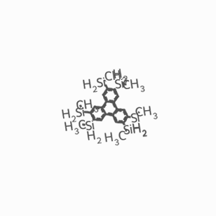 C[SiH2]c1cc2c3cc([SiH2]C)c([SiH2]C)cc3c3cc([SiH2]C)c([SiH2]C)cc3c2cc1[SiH2]C